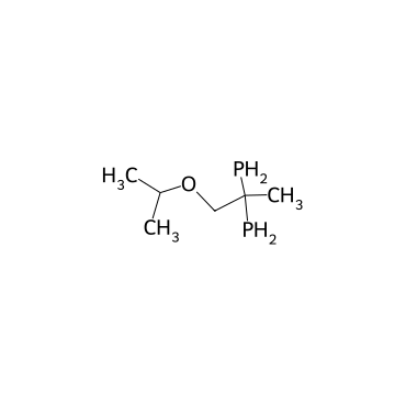 CC(C)OCC(C)(P)P